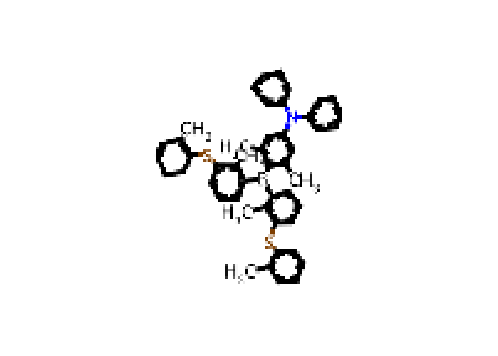 CC1=C(Sc2cccc(B(c3cccc(Sc4ccccc4C)c3C)c3c(C)cc(N(c4ccccc4)c4ccccc4)cc3C)c2C)CCC=C1